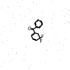 O=C(C1=CC=CC(F)(F)C1)c1ccccc1